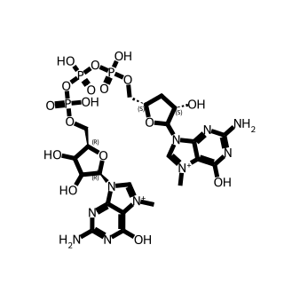 C[n+]1cn(C2O[C@H](COP(=O)(O)OP(=O)(O)OP(=O)(O)OC[C@H]3O[C@@H](n4c[n+](C)c5c(O)nc(N)nc54)C(O)C3O)C[C@@H]2O)c2nc(N)nc(O)c21